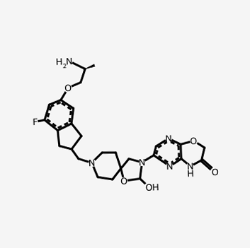 C[C@H](N)COc1cc(F)c2c(c1)CC(CN1CCC3(CC1)CN(c1cnc4c(n1)NC(=O)CO4)C(O)O3)C2